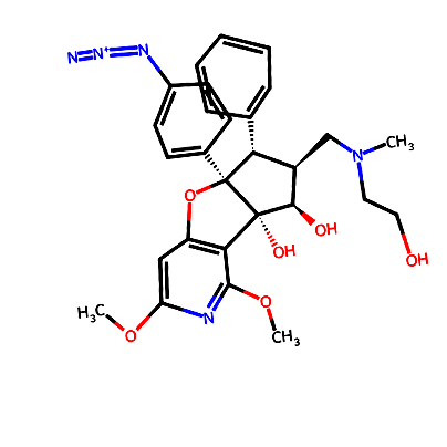 COc1cc2c(c(OC)n1)[C@]1(O)[C@H](O)[C@H](CN(C)CCO)[C@@H](c3ccccc3)[C@]1(c1ccc(N=[N+]=[N-])cc1)O2